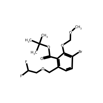 COCOc1c(Br)ccc(COCC(F)F)c1C(=O)OC(C)(C)C